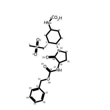 CS(=O)(=O)C[C@@H]1CC(NC(=O)O)CC[C@@H]1N1CCC(NC(=O)OCc2ccccc2)C1=O